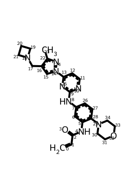 C=CC(=O)Nc1cc(Nc2nccc(-n3cc(CN4CCC4)c(C)n3)n2)ccc1N1CCOCC1